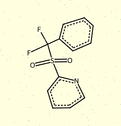 O=S(=O)(c1ccccn1)C(F)(F)c1ccccc1